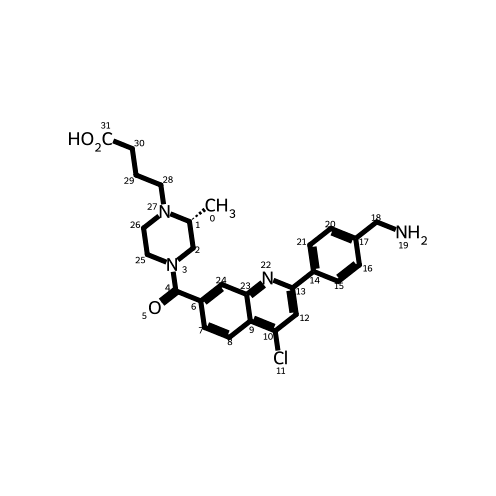 C[C@@H]1CN(C(=O)c2ccc3c(Cl)cc(-c4ccc(CN)cc4)nc3c2)CCN1CCCC(=O)O